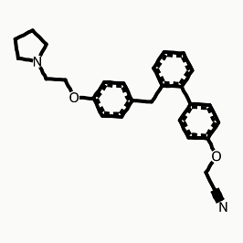 N#CCOc1ccc(-c2ccccc2Cc2ccc(OCCN3CCCC3)cc2)cc1